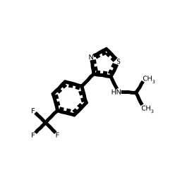 CC(C)Nc1scnc1-c1ccc(C(F)(F)F)cc1